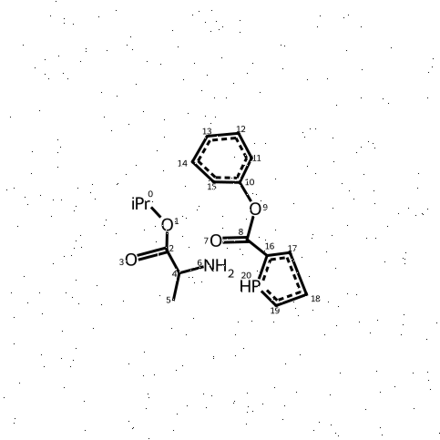 CC(C)OC(=O)C(C)N.O=C(Oc1ccccc1)c1ccc[pH]1